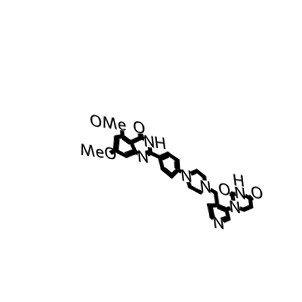 COc1cc(OC)c2c(=O)[nH]c(-c3ccc(N4CCN(Cc5ccncc5N5CCC(=O)NC5=O)CC4)cc3)nc2c1